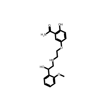 COc1ccccc1C(O)CNCCOc1ccc(O)c(C(N)=O)c1